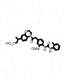 COc1cc(CC(=O)N2CCOc3cc(C(C)CC(=O)O)ccc32)ccc1NC(=O)Nc1ccccc1C